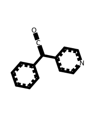 O=C=C(c1ccccc1)c1ccncc1